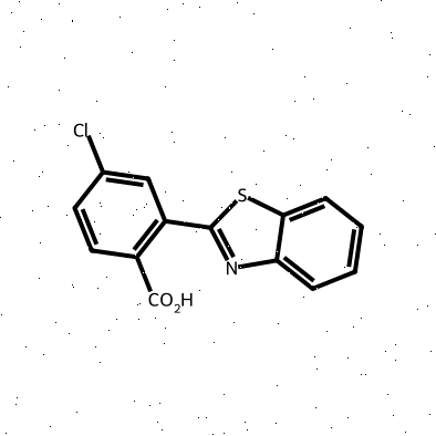 O=C(O)c1ccc(Cl)cc1-c1nc2ccccc2s1